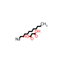 CCCCCCCCCC[CH2][Na].O=C(O)CC(=O)O